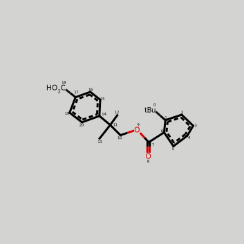 CC(C)(C)c1ccccc1C(=O)OCC(C)(C)c1ccc(C(=O)O)cc1